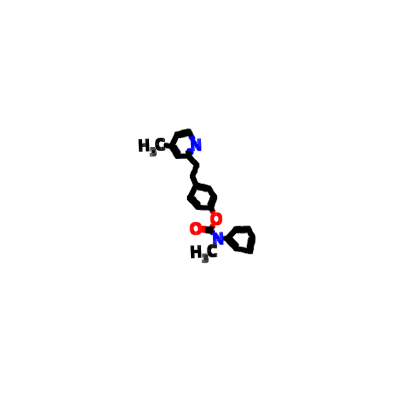 Cc1ccnc(CCc2ccc(OC(=O)N(C)c3ccccc3)cc2)c1